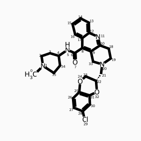 CN1CCC(NC(=O)c2c3c(nc4ccccc24)CCN(C[C@H]2COc4ccc(Cl)cc4O2)C3)CC1